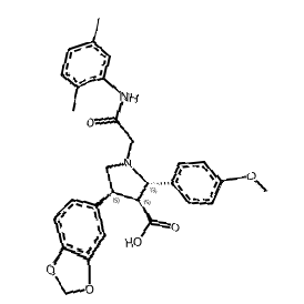 COc1ccc([C@@H]2[C@@H](C(=O)O)[C@@H](c3ccc4c(c3)OCO4)CN2CC(=O)Nc2cc(C)ccc2C)cc1